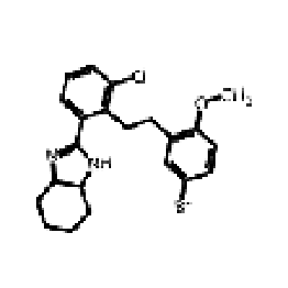 COc1ccc(Br)cc1CCc1c(Cl)cccc1C1=NC2CCCCC2N1